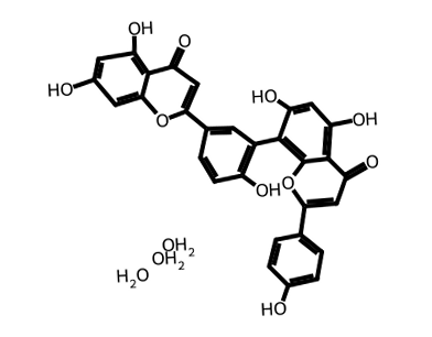 O.O.O.O=c1cc(-c2ccc(O)c(-c3c(O)cc(O)c4c(=O)cc(-c5ccc(O)cc5)oc34)c2)oc2cc(O)cc(O)c12